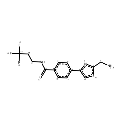 NCc1nc(-c2ccc(C(=O)NCCC(F)(F)F)cc2)cs1